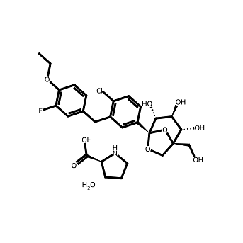 CCOc1ccc(Cc2cc([C@]34OC[C@](CO)(O3)[C@@H](O)[C@H](O)[C@H]4O)ccc2Cl)cc1F.O.O=C(O)[C@@H]1CCCN1